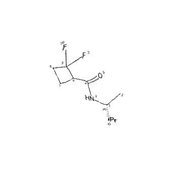 CC(C)[C@@H](C)NC(=O)C1CCC1(F)F